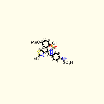 CCc1nc([C@@](Cc2ccc(NS(=O)(=O)O)cc2)(NS(C)(=O)=O)c2cccc(OC)c2)cs1